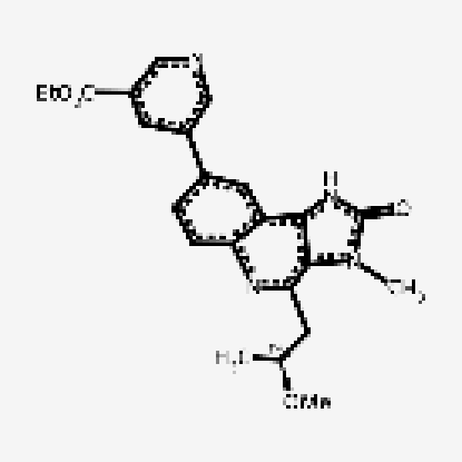 CCOC(=O)c1cncc(-c2ccc3nc(C[C@H](C)OC)c4c([nH]c(=O)n4C)c3c2)c1